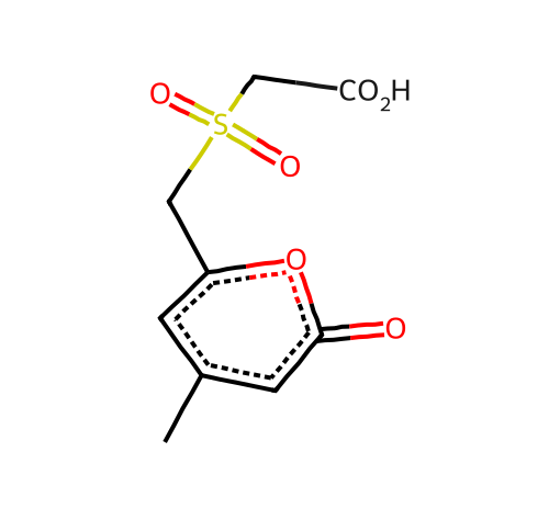 Cc1cc(CS(=O)(=O)CC(=O)O)oc(=O)c1